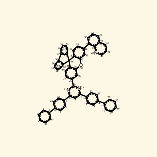 c1ccc(-c2ccc(-c3cc(-c4ccc(-c5ccccc5)cc4)nc(-c4ccc5c(c4)Oc4cc(-c6cccc7cccnc67)ccc4C54c5ccccc5-c5ccccc54)n3)cc2)cc1